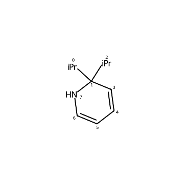 CC(C)C1(C(C)C)C=CC=CN1